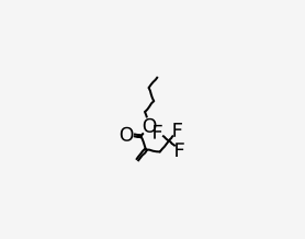 C=C(CC(F)(F)F)C(=O)OCCCC